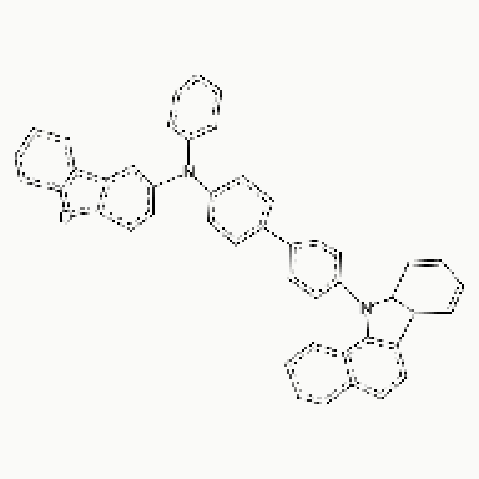 C1=CC2c3ccc4ccccc4c3N(c3ccc(-c4ccc(N(c5ccccc5)c5ccc6oc7ccccc7c6c5)cc4)cc3)C2C=C1